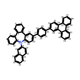 c1ccc2c(c1)-c1ccccc1N(c1ccc3ccccc3c1)c1ccc(-c3ccc(-c4ccc5c6ccccc6c6ccccc6c5c4)cc3)cc1-2